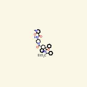 CCOC(=O)[C@@H](NC(=O)[C@@]1(c2ccccc2)CC[C@H](C(=O)N2CCC(NC(=O)c3cccn(C)c3=O)CC2)c2ccccc21)c1ccccc1